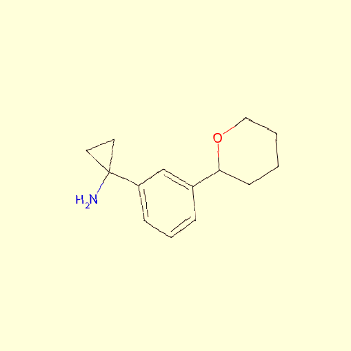 NC1(c2cccc(C3CCCCO3)c2)CC1